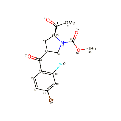 COC(=O)[C@@H]1CC(C(=O)c2ccc(Br)cc2F)CN1C(=O)OC(C)(C)C